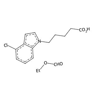 CCOC=O.O=C(O)CCCCn1ccc2c(Cl)cccc21